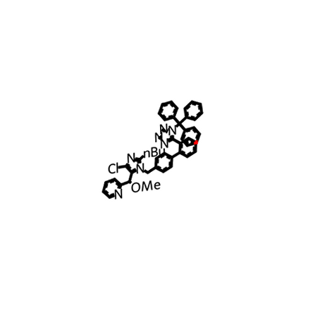 CCCCc1nc(Cl)c(C(OC)c2ccccn2)n1Cc1ccc(-c2ccccc2-c2nnnn2C(c2ccccc2)(c2ccccc2)c2ccccc2)cc1